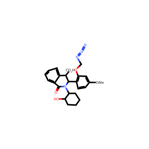 COc1ccc(C2C(C(=O)O)c3ccccc3C(=O)N2C2CCCCC2O)c(OCN=[N+]=[N-])c1